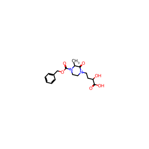 CC1C(=O)N(CCC(O)C(=O)O)CCN1C(=O)OCc1ccccc1